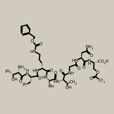 CC[C@H](C)[C@H](NC(=O)[C@@H](CCCNC(=O)OCc1ccccc1)NC(=O)[C@H](CC(C)C)NC(=O)[C@@H](N)[C@H](O)C(C)C)C(=O)N[C@H](C(=O)NCC(=O)N[C@@H](CC(N)=O)C(=O)N[C@@H](COC(=O)C(F)(F)F)C(=O)O)[C@H](C)O